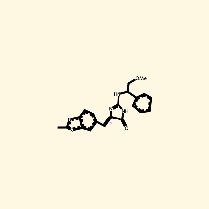 COCC(NC1=N/C(=C\c2ccc3nc(C)sc3c2)C(=O)N1)c1ccccc1